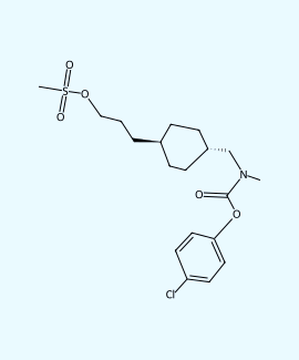 CN(C[C@H]1CC[C@H](CCCOS(C)(=O)=O)CC1)C(=O)Oc1ccc(Cl)cc1